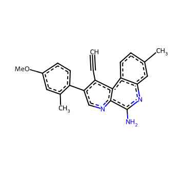 C#Cc1c(-c2ccc(OC)cc2C)cnc2c(N)nc3cc(C)ccc3c12